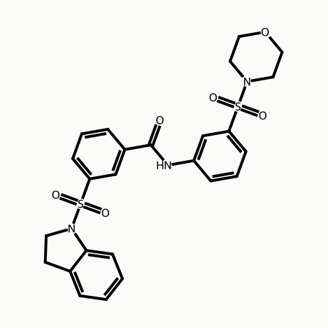 O=C(Nc1cccc(S(=O)(=O)N2CCOCC2)c1)c1cccc(S(=O)(=O)N2CCc3ccccc32)c1